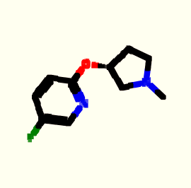 CN1CC[C@@H](Oc2ccc(F)cn2)C1